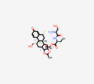 CCCC1O[C@@H]2CC3[C@@H]4C[C@H](F)C5=CC(=O)C=C[C@]5(C)[C@@]4(F)[C@@H](CO)C[C@]3(C)[C@]2(C(=O)COC(=O)[C@H](CC(C)C)NC(=O)[C@@H](N)CO)O1